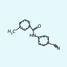 Cc1cccc(C(=O)Nc2ccc(C#N)cc2)c1